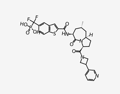 C[C@@H]1C[C@H]2CC[C@@H](C(=O)N3CC(c4cccnc4)C3)N2C(=O)[C@@H](NC(=O)c2cc3cc(C(F)(F)P(=O)(O)O)ccc3s2)C1